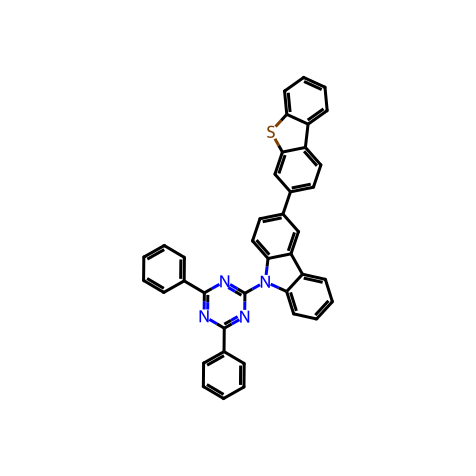 c1ccc(-c2nc(-c3ccccc3)nc(-n3c4ccccc4c4cc(-c5ccc6c(c5)sc5ccccc56)ccc43)n2)cc1